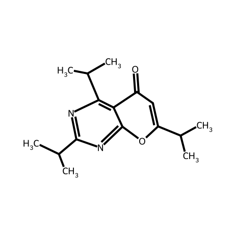 CC(C)c1nc(C(C)C)c2c(=O)cc(C(C)C)oc2n1